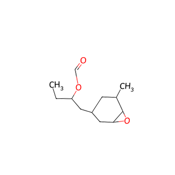 CCC(CC1CC(C)C2OC2C1)OC=O